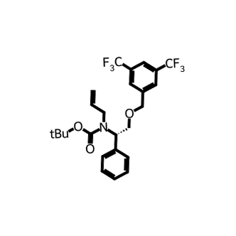 C=CCN(C(=O)OC(C)(C)C)[C@H](COCc1cc(C(F)(F)F)cc(C(F)(F)F)c1)c1ccccc1